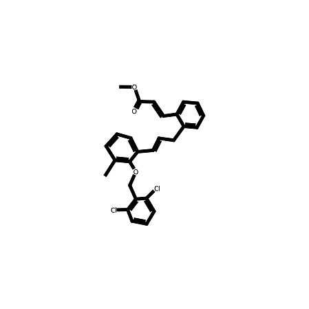 COC(=O)C=Cc1ccccc1CC=Cc1cccc(C)c1OCc1c(Cl)cccc1Cl